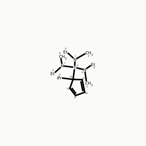 CC[N](C)[Ti]([N](C)CC)([N](C)CC)[C]1(C(C)C)C=CC=C1